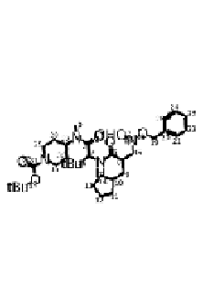 CN(C(=O)C(NC(=O)C(CC1CCCC1)CN(C=O)OCc1ccccc1)C(C)(C)C)C1CCN(C(=O)OC(C)(C)C)CC1